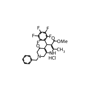 COC(=O)C1=C(C)NC2=C(C(=O)CN(Cc3ccccc3)C2)C1c1c(F)c(F)c(F)c(F)c1F.Cl